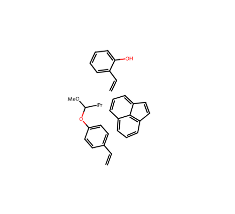 C1=Cc2cccc3cccc1c23.C=Cc1ccc(OC(OC)C(C)C)cc1.C=Cc1ccccc1O